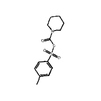 Cc1ccc(S(=O)(=O)OC(=O)N2CCCCC2)cc1